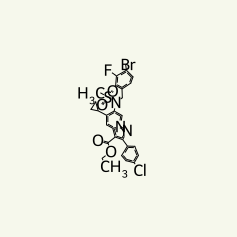 CCOC(=O)c1c(-c2ccc(Cl)cc2)nn2cc(N(Cc3ccc(Br)c(F)c3)S(C)(=O)=O)c(C3CC3)cc12